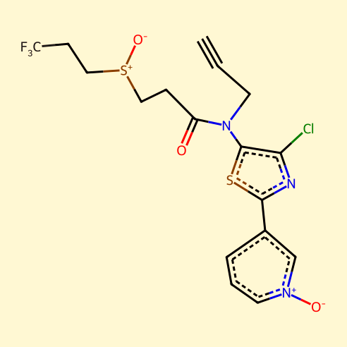 C#CCN(C(=O)CC[S+]([O-])CCC(F)(F)F)c1sc(-c2ccc[n+]([O-])c2)nc1Cl